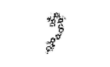 COc1cc(N2CCC3(CCN(CC4CCN(c5ccc6c(c5)C(=O)N(C5CCC(=O)NC5=O)C6=O)CC4)CC3)CC2)c(C)cc1Nc1ncc(Br)c(Nc2ccc3nccnc3c2P(C)(C)=O)n1